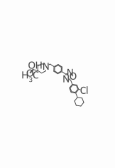 CC1(C(=O)O)CCN(Cc2ccc(-c3noc(-c4ccc(C5CCCCC5)c(Cl)c4)n3)cc2)CC1